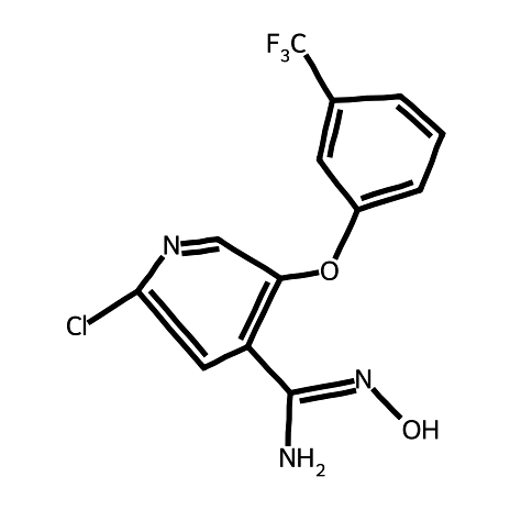 NC(=NO)c1cc(Cl)ncc1Oc1cccc(C(F)(F)F)c1